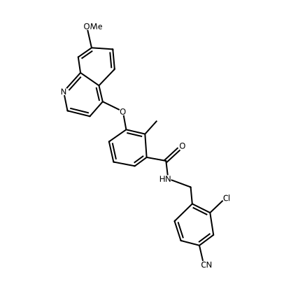 COc1ccc2c(Oc3cccc(C(=O)NCc4ccc(C#N)cc4Cl)c3C)ccnc2c1